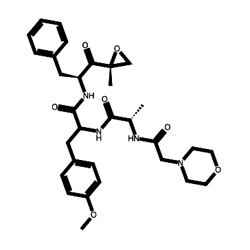 COc1ccc(CC(NC(=O)[C@H](C)NC(=O)CN2CCOCC2)C(=O)N[C@@H](Cc2ccccc2)C(=O)[C@@]2(C)CO2)cc1